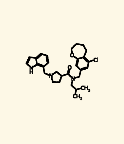 CC(C)CN(Cc1cc(Cl)c2c(c1)OCCCC2)C(=O)C1CCN(Cc2cccc3cc[nH]c23)C1